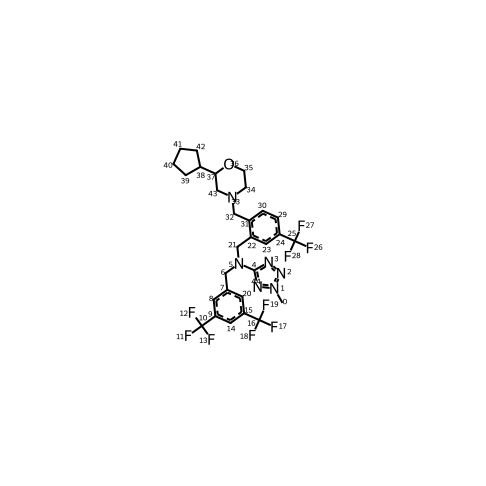 Cn1nnc(N(Cc2cc(C(F)(F)F)cc(C(F)(F)F)c2)Cc2cc(C(F)(F)F)ccc2CN2CCOC(C3CCCC3)C2)n1